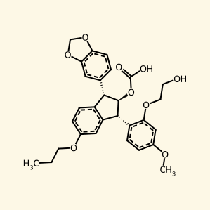 CCCOc1ccc2c(c1)[C@@H](c1ccc(OC)cc1OCCO)[C@H](OC(=O)O)[C@H]2c1ccc2c(c1)OCO2